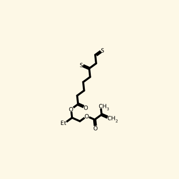 C=C(C)C(=O)OCC(CC)OC(=O)CCCCC(=S)CC=S